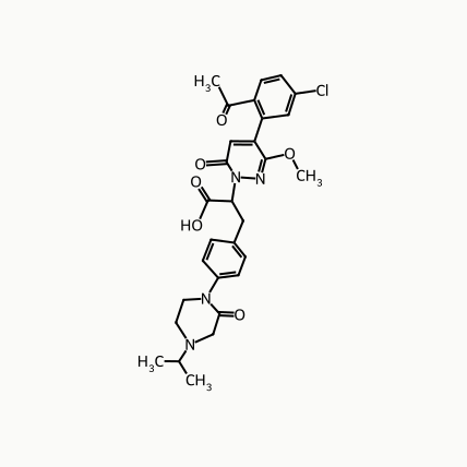 COc1nn(C(Cc2ccc(N3CCN(C(C)C)CC3=O)cc2)C(=O)O)c(=O)cc1-c1cc(Cl)ccc1C(C)=O